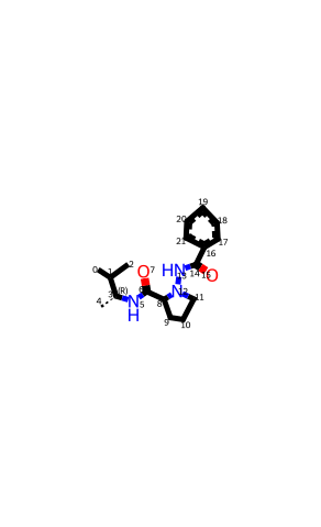 CC(C)[C@@H](C)NC(=O)C1CCCN1NC(=O)c1ccccc1